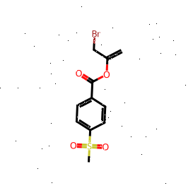 C=C(CBr)OC(=O)c1ccc(S(C)(=O)=O)cc1